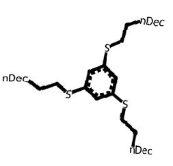 CCCCCCCCCCCCSc1cc(SCCCCCCCCCCCC)cc(SCCCCCCCCCCCC)c1